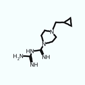 N=C(N)NC(=N)N1CCN(CC2CC2)CC1